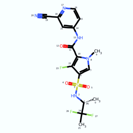 C[C@@H](NS(=O)(=O)c1cn(C)c(C(=O)Nc2ccnc(C#N)c2)c1F)C(C)(F)F